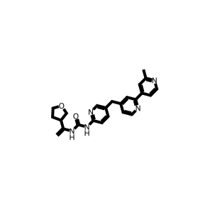 C=C(NC(=O)Nc1ccc(Cc2ccnc(-c3ccnc(C)c3)c2)cn1)C1CCOC1